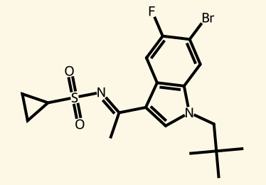 CC(=NS(=O)(=O)C1CC1)c1cn(CC(C)(C)C)c2cc(Br)c(F)cc12